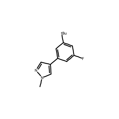 Cn1cc(-c2cc(F)cc(C(C)(C)C)c2)cn1